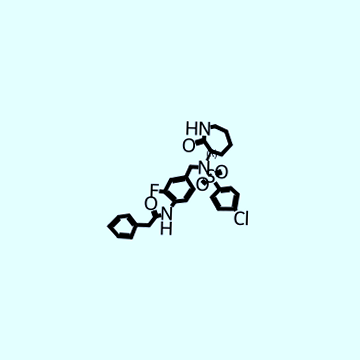 O=C(Cc1ccccc1)Nc1ccc(CN([C@@H]2CCCCNC2=O)S(=O)(=O)c2ccc(Cl)cc2)cc1F